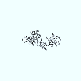 CC[C@H]1[C@@H](O[Si](C)(C)C)[C@@H]2[C@H](CC[C@]3(C)[C@@H]([C@H](C)CCC(=O)O[Si](C)(C)C(C)(C)C)CC[C@@H]23)[C@@]2(C)CCC[C@H](F)[C@@H]12